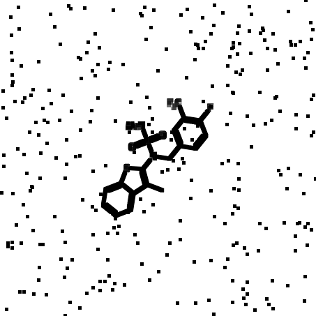 CNS(=O)(=O)N(Cc1ccc(F)c(C(F)(F)F)c1)c1sc2ccccc2c1C